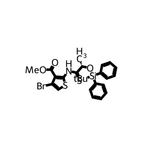 COC(=O)c1c(Br)csc1NC(=S)[C@H](C)O[Si](c1ccccc1)(c1ccccc1)C(C)(C)C